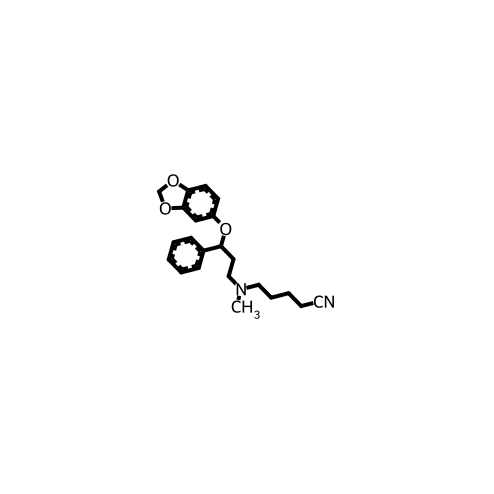 CN(CCCCC#N)CCC(Oc1ccc2c(c1)OCO2)c1ccccc1